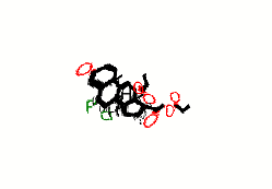 CCC(=O)OCC(=O)[C@]1(OC(=O)CC)[C@H](C)C[C@H]2[C@H]3C(=CC[C@@]21C)[C@@]1(C)C=CC(=O)C=C1[C@H](F)[C@H]3Cl